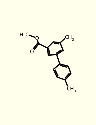 COC(=O)c1cc(C)cc(-c2ccc(C)cc2)c1